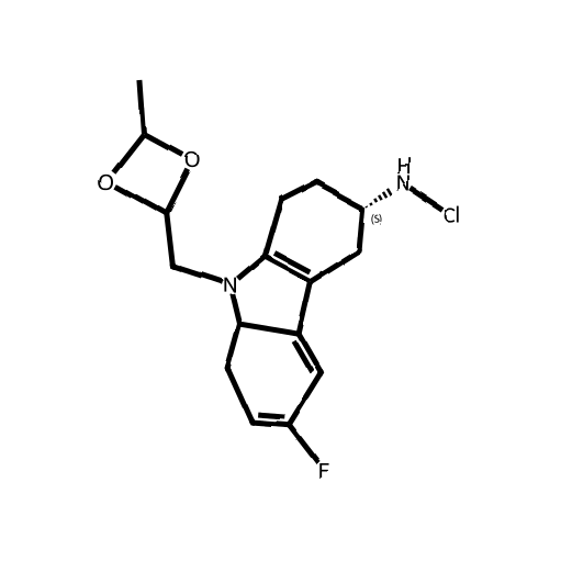 CC1OC(CN2C3=C(C[C@@H](NCl)CC3)C3=CC(F)=CCC32)O1